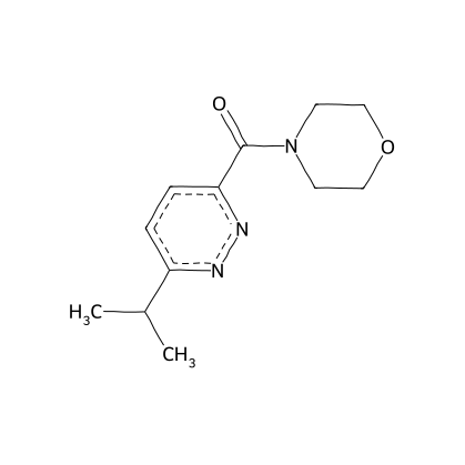 CC(C)c1ccc(C(=O)N2CCOCC2)nn1